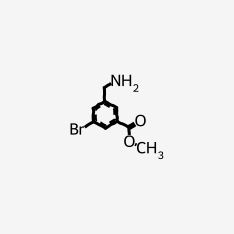 COC(=O)c1cc(Br)cc(CN)c1